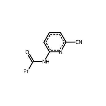 CCC(=O)Nc1cccc(C#N)n1